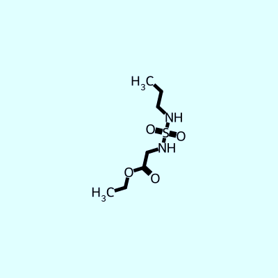 CCCNS(=O)(=O)NCC(=O)OCC